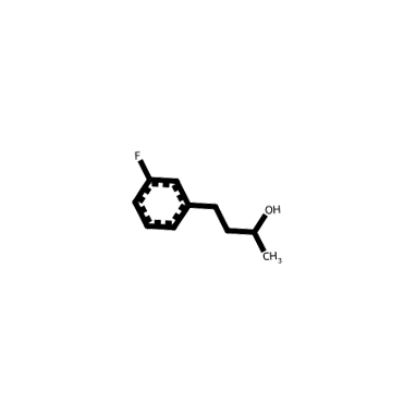 CC(O)CCc1cccc(F)c1